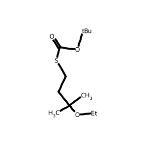 CCOC(C)(C)CCSC(=O)OC(C)(C)C